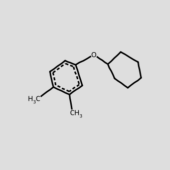 Cc1ccc(OC2CCCCC2)cc1C